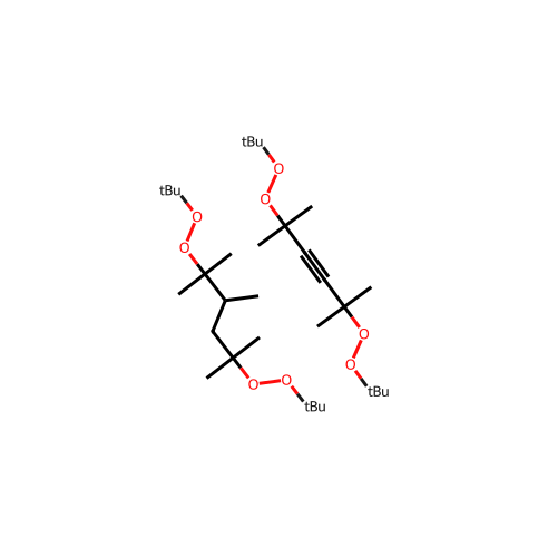 CC(C)(C)OOC(C)(C)C#CC(C)(C)OOC(C)(C)C.CC(CC(C)(C)OOC(C)(C)C)C(C)(C)OOC(C)(C)C